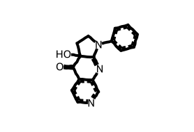 O=C1c2ccncc2N=C2N(c3ccccc3)CCC12O